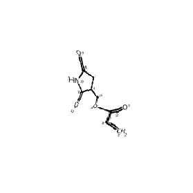 C=CC(=O)OCC1CC(=O)NC1=O